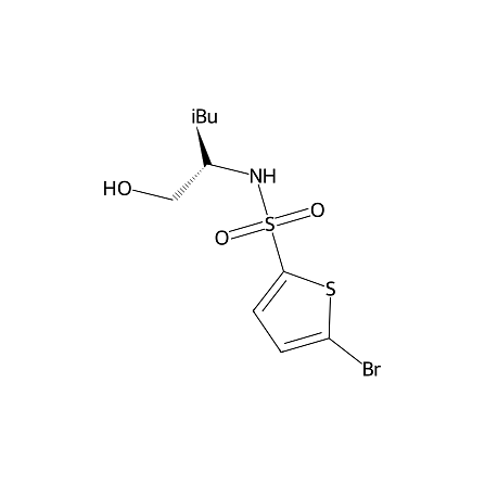 CC[C@H](C)[C@@H](CO)NS(=O)(=O)c1ccc(Br)s1